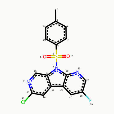 Cc1ccc(S(=O)(=O)n2c3cnc(Cl)cc3c3cc(F)cnc32)cc1